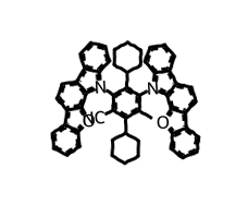 Cc1c(C2CCCCC2)c(C#N)c(-n2c3ccccc3c3ccc4c5ccccc5oc4c32)c(C2CCCCC2)c1-n1c2ccccc2c2ccc3c4ccccc4oc3c21